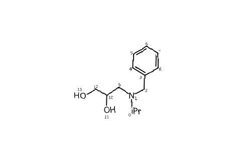 CC(C)N(Cc1ccccc1)CC(O)CO